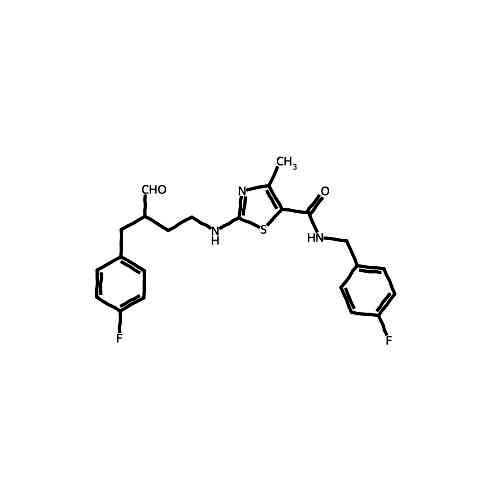 Cc1nc(NCCC(C=O)Cc2ccc(F)cc2)sc1C(=O)NCc1ccc(F)cc1